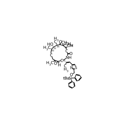 CC(=Cc1csc(CO[Si](c2ccccc2)(c2ccccc2)C(C)(C)C)n1)[C@@H]1C[C@@H]2OC2(C)CCC[C@H](C)[C@H](O)[C@@H](C)C(=O)C(C)(C)[C@@H](O)CC(=O)N1